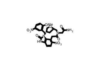 COc1ccc([N+](=O)[O-])cc1Cn1c(=O)[nH]c2ccc([N+](=O)[O-])c(CC(=O)N(CC(N)=O)CC3CCCO3)c21